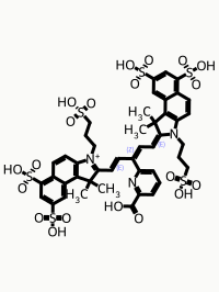 CC1(C)C(/C=C/C(=C/C=C2/N(CCCS(=O)(=O)O)c3ccc4c(S(=O)(=O)O)cc(S(=O)(=O)O)cc4c3C2(C)C)c2cccc(C(=O)O)n2)=[N+](CCCS(=O)(=O)O)c2ccc3c(S(=O)(=O)O)cc(S(=O)(=O)O)cc3c21